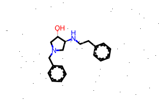 O[C@H]1CN(Cc2ccccc2)C[C@@H]1NCCc1ccccc1